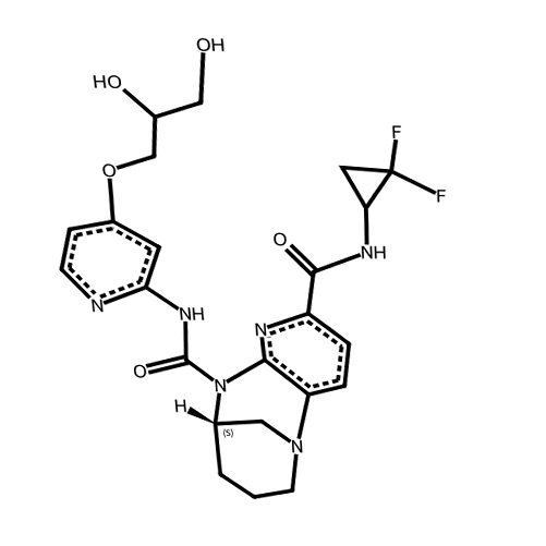 O=C(NC1CC1(F)F)c1ccc2c(n1)N(C(=O)Nc1cc(OCC(O)CO)ccn1)[C@H]1CCCN2C1